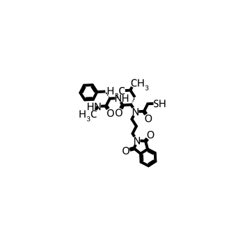 CNC(=O)[C@H](Cc1ccccc1)NC(=O)[C@H](CC(C)C)N(CCCN1C(=O)c2ccccc2C1=O)C(=O)CS